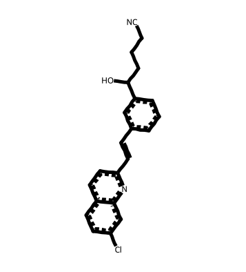 N#CCCCC(O)c1cccc(/C=C/c2ccc3ccc(Cl)cc3n2)c1